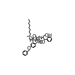 CCCCCCCCC(C)OC(=O)NC(C)(Cc1ccc(OCc2ccccc2)cc1)C(=O)NC(CO)C(O)c1ccccc1